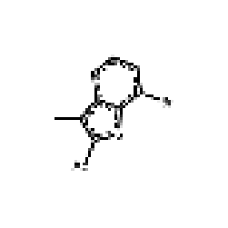 CC(=O)c1sc2c(Br)cccc2c1C